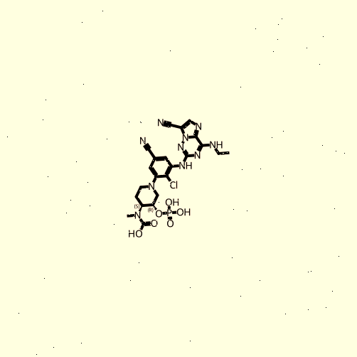 CCNc1nc(Nc2cc(C#N)cc(N3CC[C@H](N(C)C(=O)O)[C@H](OP(=O)(O)O)C3)c2Cl)nn2c(C#N)cnc12